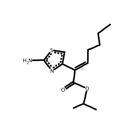 CCCC/C=C(/C(=O)OC(C)C)c1csc(N)n1